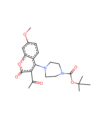 COc1ccc2c(N3CCN(C(=O)OC(C)(C)C)CC3)c(C(C)=O)c(=O)oc2c1